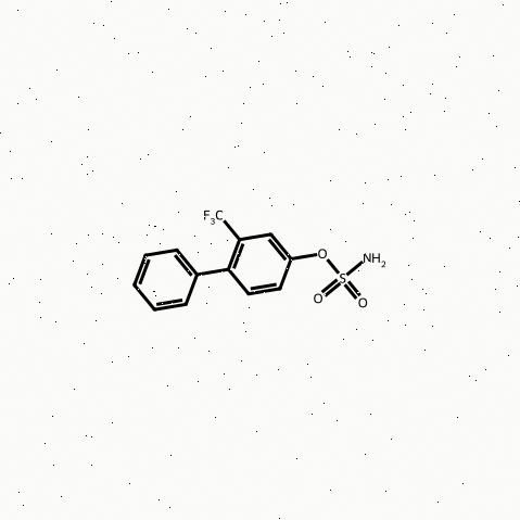 NS(=O)(=O)Oc1ccc(-c2ccccc2)c(C(F)(F)F)c1